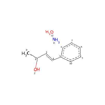 CC(O)C=Cc1ccccc1.N.O